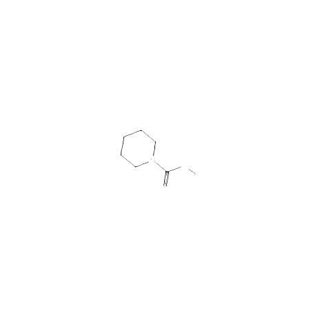 O=C(OCl)N1CCCCC1